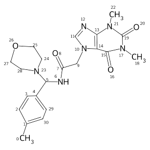 Cc1ccc(C(NC(=O)Cn2cnc3c2c(=O)n(C)c(=O)n3C)N2CCOCC2)cc1